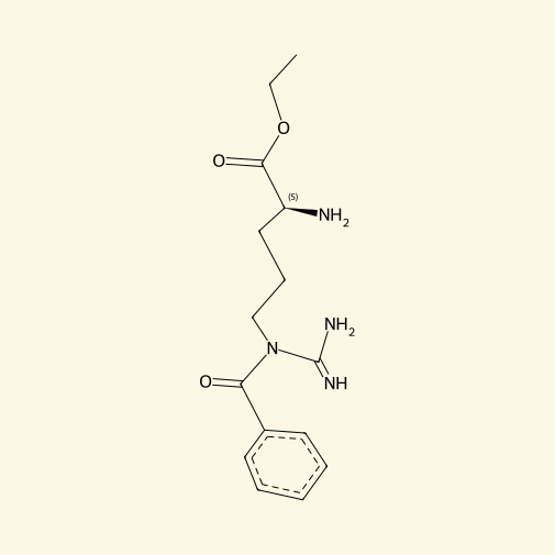 CCOC(=O)[C@@H](N)CCCN(C(=N)N)C(=O)c1ccccc1